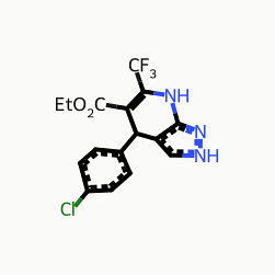 CCOC(=O)C1=C(C(F)(F)F)Nc2n[nH]cc2C1c1ccc(Cl)cc1